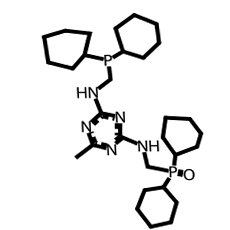 Cc1nc(NCP(C2CCCCC2)C2CCCCC2)nc(NCP(=O)(C2CCCCC2)C2CCCCC2)n1